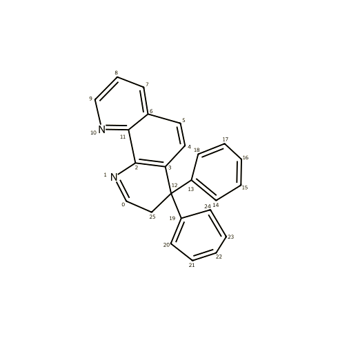 C1=Nc2c(ccc3cccnc23)C(c2ccccc2)(c2ccccc2)C1